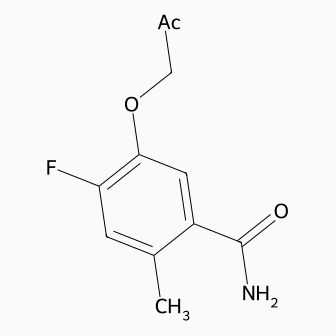 CC(=O)COc1cc(C(N)=O)c(C)cc1F